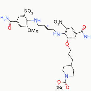 COc1cc(C(N)=O)cc([N+](=O)[O-])c1NC/C=C/CNc1c(OCCCC2CCN(C(=O)OC(C)(C)C)CC2)cc(C(N)=O)cc1[N+](=O)[O-]